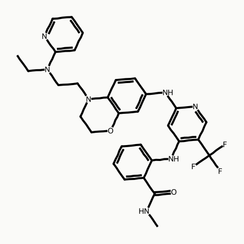 CCN(CCN1CCOc2cc(Nc3cc(Nc4ccccc4C(=O)NC)c(C(F)(F)F)cn3)ccc21)c1ccccn1